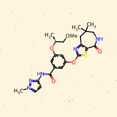 COC[C@H](C)Oc1cc(Oc2nc3c(s2)C(=O)NCC(C)(C)C3)cc(C(=O)Nc2ccn(C)n2)c1